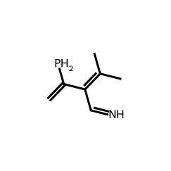 C=C(P)C(C=N)=C(C)C